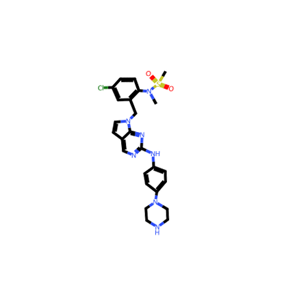 CN(c1ccc(Cl)cc1Cn1ccc2cnc(Nc3ccc(N4CCNCC4)cc3)nc21)S(C)(=O)=O